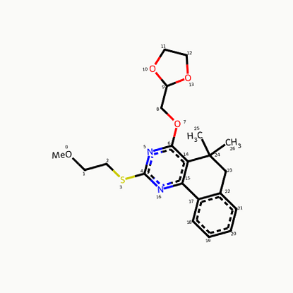 COCCSc1nc(OCC2OCCO2)c2c(n1)-c1ccccc1CC2(C)C